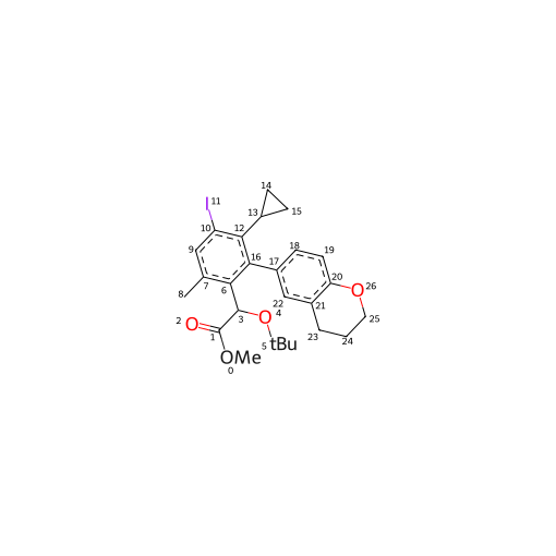 COC(=O)C(OC(C)(C)C)c1c(C)cc(I)c(C2CC2)c1-c1ccc2c(c1)CCCO2